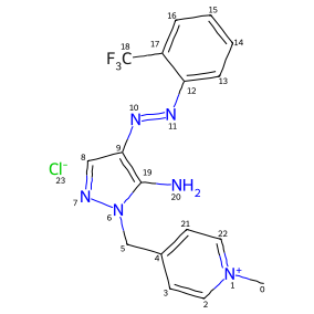 C[n+]1ccc(Cn2ncc(N=Nc3ccccc3C(F)(F)F)c2N)cc1.[Cl-]